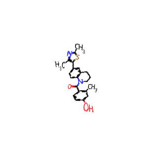 Cc1nc(C)c(-c2ccc3c(c2)CCCN3C(=O)c2ccc(O)cc2C)s1